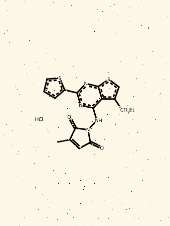 CCOC(=O)c1csc2nc(-c3cccs3)nc(NN3C(=O)C=C(C)C3=O)c12.Cl